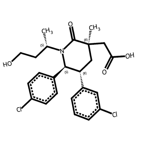 C[C@@H](CCO)N1C(=O)[C@@](C)(CC(=O)O)C[C@H](c2cccc(Cl)c2)[C@H]1c1ccc(Cl)cc1